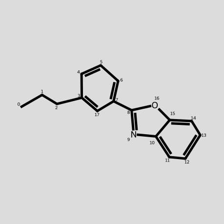 CCCc1cccc(-c2nc3ccccc3o2)c1